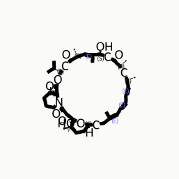 C\C1=C/C=C/C=C/[C@@H](C)C[C@@H](C)C(=O)C[C@H](O)/C(C)=C/[C@@H](C)C(=O)C[C@@H](C(C)C)OC(=O)[C@@H]2CCCCN2C(=O)C(=O)[C@]2(O)O[C@H](CC1)CC[C@H]2C